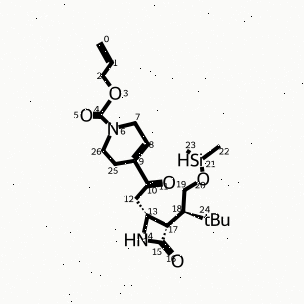 C=CCOC(=O)N1CC=C(C(=O)C[C@H]2NC(=O)[C@H]2[C@@H](CO[SiH](C)C)C(C)(C)C)CC1